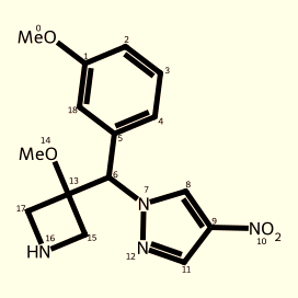 COc1cccc(C(n2cc([N+](=O)[O-])cn2)C2(OC)CNC2)c1